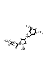 CC[C@@H]1C[C@H](NCc2cc(C(F)(F)F)cc(C(F)(F)F)c2)CN1C(=O)OC(C)(C)C(=O)O